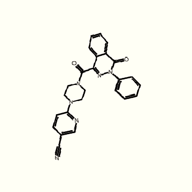 N#Cc1ccc(N2CCN(C(=O)c3nn(-c4ccccc4)c(=O)c4ccccc34)CC2)nc1